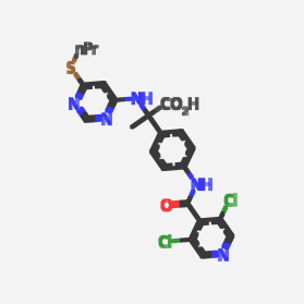 CCCSc1cc(NC(C)(C(=O)O)c2ccc(NC(=O)c3c(Cl)cncc3Cl)cc2)ncn1